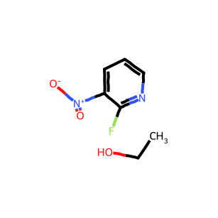 CCO.O=[N+]([O-])c1cccnc1F